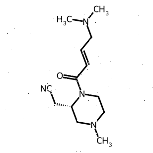 CN(C)C/C=C/C(=O)N1CCN(C)C[C@@H]1CC#N